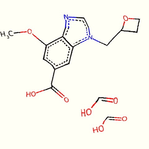 COc1cc(C(=O)O)cc2c1ncn2CC1CCO1.O=CO.O=CO